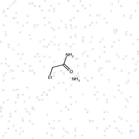 CCCC(N)=O.N